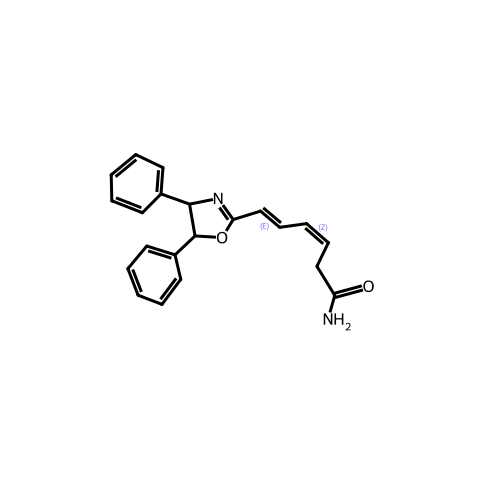 NC(=O)C/C=C\C=C\C1=NC(c2ccccc2)C(c2ccccc2)O1